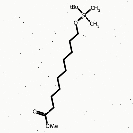 COC(=O)CCCCCCCCCO[Si](C)(C)C(C)(C)C